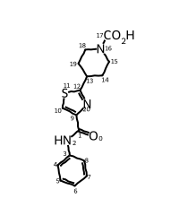 O=C(Nc1ccccc1)c1csc(C2CCN(C(=O)O)CC2)n1